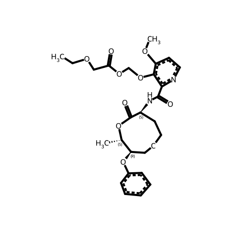 CCOCC(=O)OCOc1c(OC)ccnc1C(=O)N[C@H]1CCCC[C@@H](Oc2ccccc2)[C@H](C)OC1=O